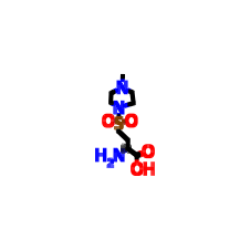 CN1CCN(S(=O)(=O)CC[C@H](N)C(=O)O)CC1